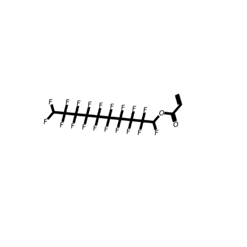 C=CC(=O)OC(F)C(F)(F)C(F)(F)C(F)(F)C(F)(F)C(F)(F)C(F)(F)C(F)(F)C(F)(F)C(F)F